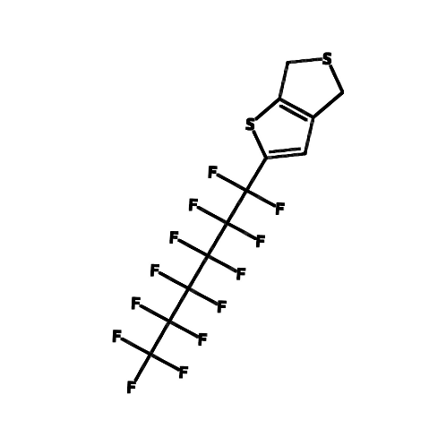 FC(F)(F)C(F)(F)C(F)(F)C(F)(F)C(F)(F)C(F)(F)c1cc2c(s1)CSC2